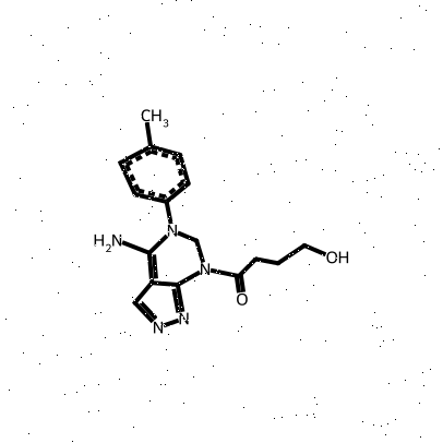 Cc1ccc(N2CN(C(=O)CCCO)C3=NN=CC3=C2N)cc1